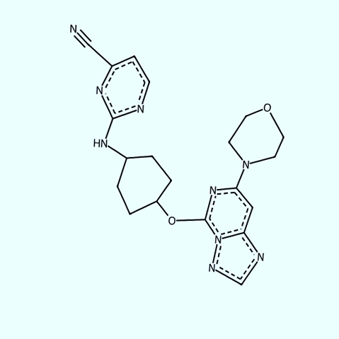 N#Cc1ccnc(NC2CCC(Oc3nc(N4CCOCC4)cc4ncnn34)CC2)n1